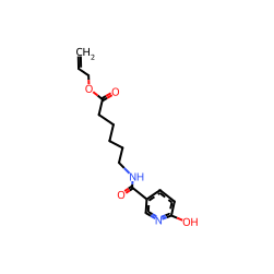 C=CCOC(=O)CCCCCNC(=O)c1ccc(O)nc1